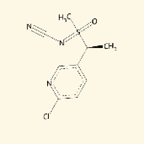 C[C@@H](c1ccc(Cl)nc1)S(C)(=O)=NC#N